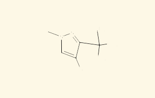 Cn1cc(Br)c(C(C)(C)C)n1